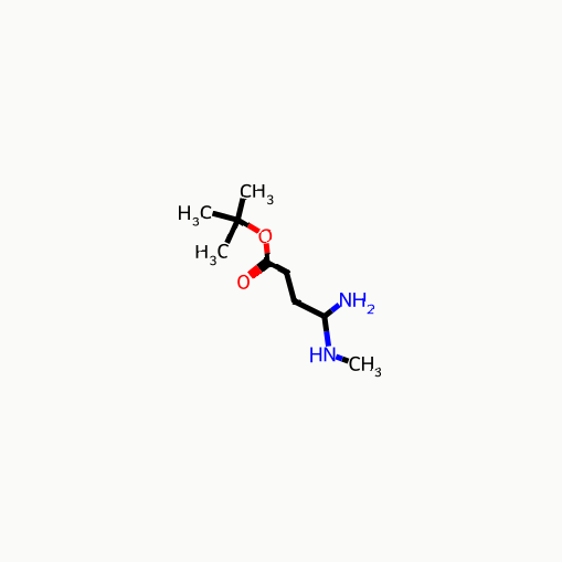 CNC(N)CCC(=O)OC(C)(C)C